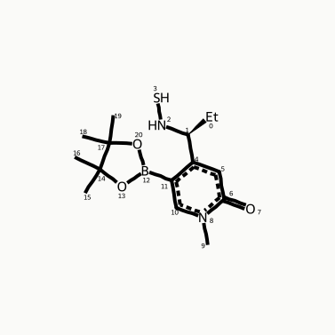 CC[C@H](NS)c1cc(=O)n(C)cc1B1OC(C)(C)C(C)(C)O1